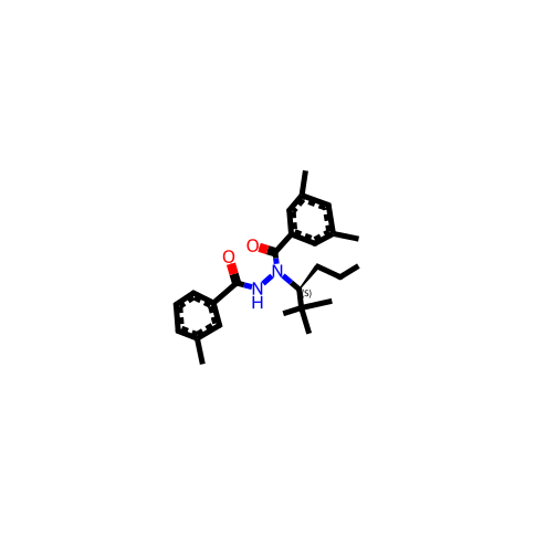 CCC[C@H](N(NC(=O)c1cccc(C)c1)C(=O)c1cc(C)cc(C)c1)C(C)(C)C